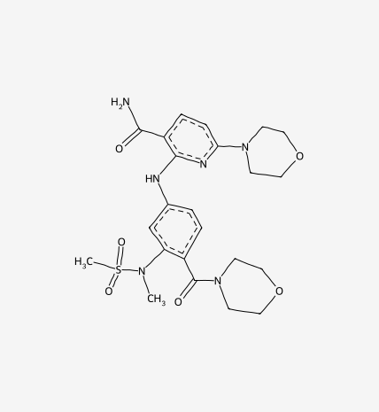 CN(c1cc(Nc2nc(N3CCOCC3)ccc2C(N)=O)ccc1C(=O)N1CCOCC1)S(C)(=O)=O